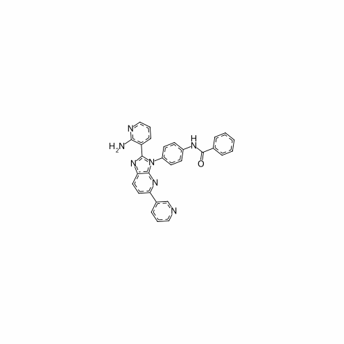 Nc1ncccc1-c1nc2ccc(-c3cccnc3)nc2n1-c1ccc(NC(=O)c2ccccc2)cc1